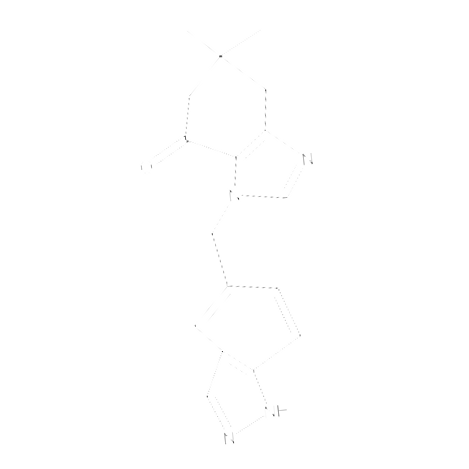 CC1(C)CC(=O)c2c(ncn2Cc2ccc3[nH]ncc3c2)C1